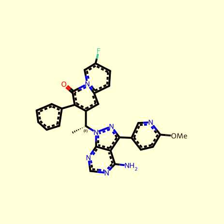 COc1ccc(-c2nn([C@H](C)c3cc4ccc(F)cn4c(=O)c3-c3ccccc3)c3ncnc(N)c23)cn1